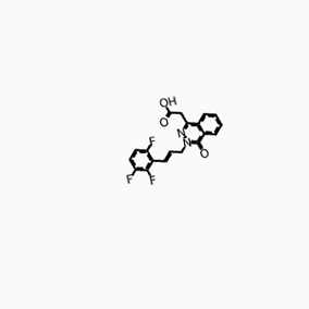 O=C(O)Cc1nn(C/C=C/c2c(F)ccc(F)c2F)c(=O)c2ccccc12